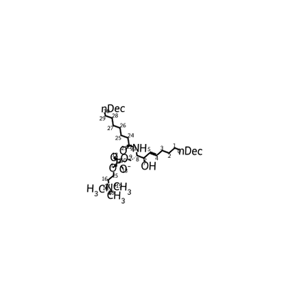 CCCCCCCCCCCCC/C=C/[C@@H](O)[C@H](COP(=O)([O-])OCC[N+](C)(C)C)NC(=O)CCCCCCCCCCCCCCCC